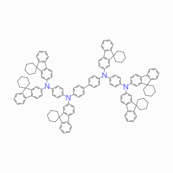 c1ccc2c(c1)-c1ccc(N(c3ccc(-c4ccc(N(c5ccc(N(c6ccc7c(c6)C6(CCCCC6)c6ccccc6-7)c6ccc7c(c6)C6(CCCCC6)c6ccccc6-7)cc5)c5ccc6c(c5)C5(CCCCC5)c5ccccc5-6)cc4)cc3)c3ccc(N(c4ccc5c(c4)C4(CCCCC4)c4ccccc4-5)c4ccc5c(c4)C4(CCCCC4)c4ccccc4-5)cc3)cc1C21CCCCC1